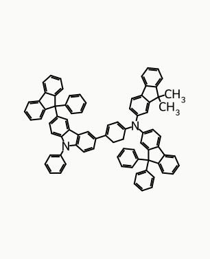 CC1(C)c2ccccc2-c2ccc(N(C3=CC=C(c4ccc5c(c4)c4cc(C6(c7ccccc7)c7ccccc7-c7ccccc76)ccc4n5-c4ccccc4)CC3)c3ccc4c(c3)C(c3ccccc3)(c3ccccc3)c3ccccc3-4)cc21